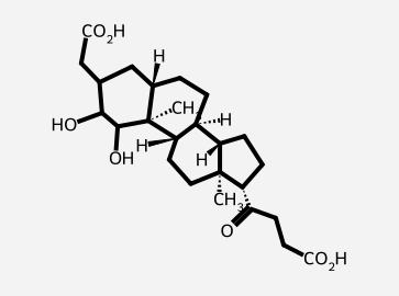 C[C@]12CC[C@H]3[C@@H](CC[C@H]4CC(CC(=O)O)C(O)C(O)[C@@]43C)[C@@H]1CC[C@@H]2C(=O)CCC(=O)O